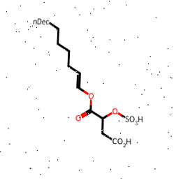 CCCCCCCCCCCCCCC=COC(=O)C(CC(=O)O)OS(=O)(=O)O